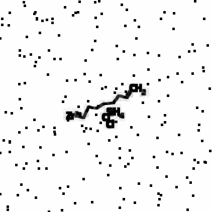 C=CCCCCC[CH2][Zr+2].[Cl-].[Cl-].[SiH4]